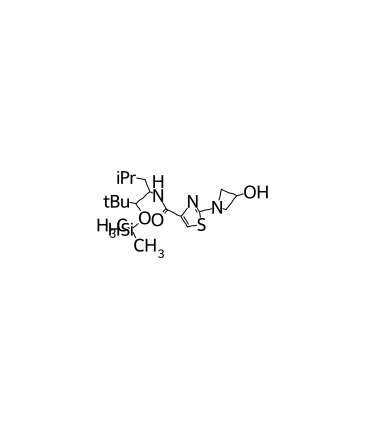 CC(C)CC(NC(=O)c1csc(N2CC(O)C2)n1)C(O[SiH](C)C)C(C)(C)C